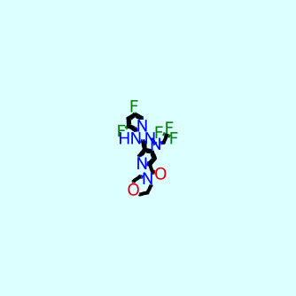 O=C(c1cc2c(cn1)c(Nc1ncc(F)cc1F)nn2CC(F)(F)F)N1CCCOCC1